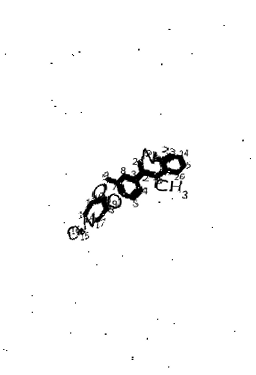 Cc1c(-c2ccc3c(c2)COC2(CCN(C=O)CC2)O3)cnc2ccccc12